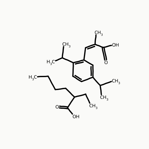 CC(=Cc1cc(C(C)C)ccc1C(C)C)C(=O)O.CCCCC(CC)C(=O)O